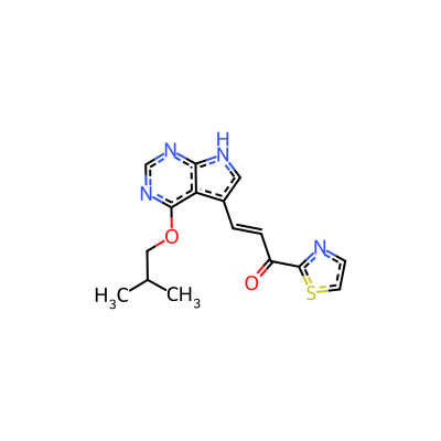 CC(C)COc1ncnc2[nH]cc(C=CC(=O)c3nccs3)c12